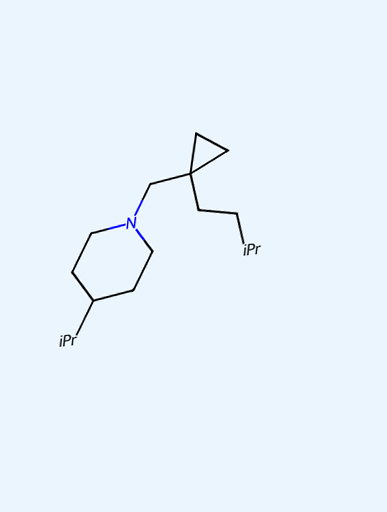 CC(C)CCC1(CN2CCC(C(C)C)CC2)CC1